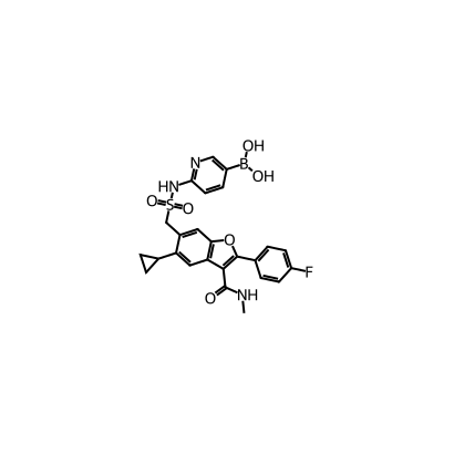 CNC(=O)c1c(-c2ccc(F)cc2)oc2cc(CS(=O)(=O)Nc3ccc(B(O)O)cn3)c(C3CC3)cc12